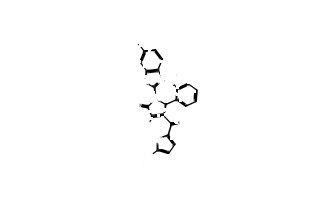 Cc1ccc(C(=O)C2=C(O)C(=O)N(c3nc4ccc(Cl)cc4s3)C2c2ccccc2C)o1